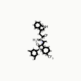 C/C(=C1/C(=O)N(c2cc(C)cc(C)c2)c2cc(C(F)(F)F)ccc21)N(N)C(=O)Cc1c[nH]c2ccccc12